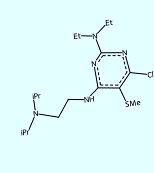 CCN(CC)c1nc(Cl)c(SC)c(NCCN(C(C)C)C(C)C)n1